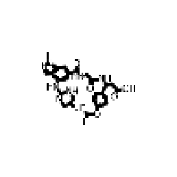 O=C(O)CC(NC(=O)CNC(=O)c1cc(NC2=NCC(F)CN2)c2cn[nH]c2c1)c1ccc(OC(F)F)cc1